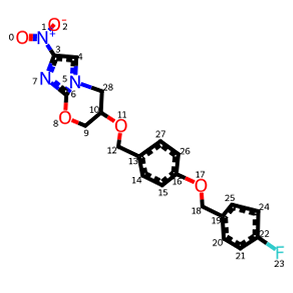 O=[N+]([O-])c1cn2c(n1)OCC(OCc1ccc(OCc3ccc(F)cc3)cc1)C2